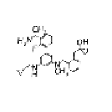 CC(N)c1cccc(-c2cc(NCC3CC3)cc(N(C)Cc3ccccc3CC(=O)O)c2)c1F